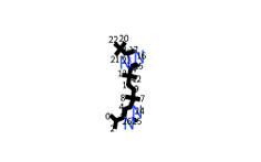 CC(C)c1cc(C(C)(C)CCC(C)(C)c2cncc(C(C)(C)C)n2)ncn1